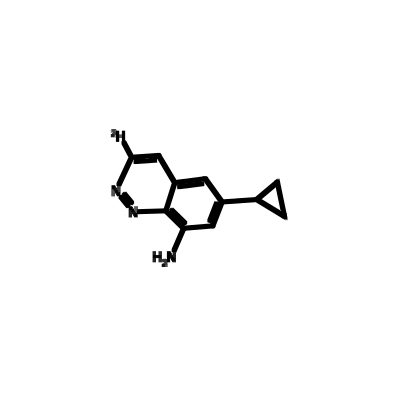 [2H]c1cc2cc(C3CC3)cc(N)c2nn1